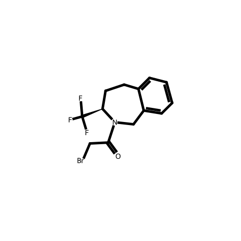 O=C(CBr)N1Cc2ccccc2CC[C@@H]1C(F)(F)F